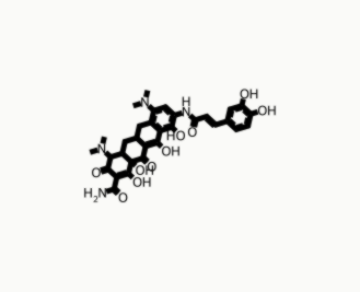 CN(C)c1cc(NC(=O)/C=C/c2ccc(O)c(O)c2)c(O)c2c1CC1CC3C(N(C)C)C(=O)C(C(N)=O)=C(O)C3(O)C(=O)C1=C2O